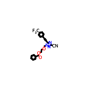 N#Cc1nc(C#Cc2ccc(C(F)(F)F)cc2)n(COCCOC(=O)c2ccccc2)n1